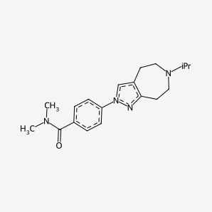 CC(C)N1CCc2cn(-c3ccc(C(=O)N(C)C)cc3)nc2CC1